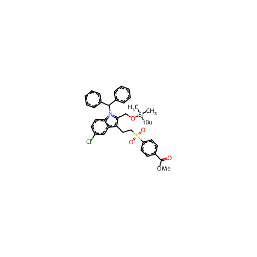 COC(=O)c1ccc(S(=O)(=O)CCc2c(CO[Si](C)(C)C(C)(C)C)n(C(c3ccccc3)c3ccccc3)c3ccc(Cl)cc23)cc1